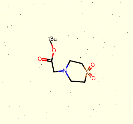 CC(C)(C)OC(=O)CN1CCS(=O)(=O)CC1